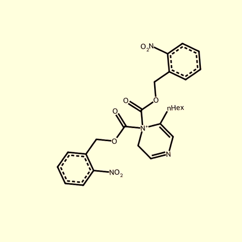 CCCCCCC1=CN=CC[N+]1(C(=O)OCc1ccccc1[N+](=O)[O-])C(=O)OCc1ccccc1[N+](=O)[O-]